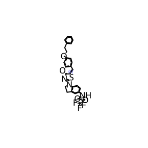 O=C1N=C(N2CCc3cc(NS(=O)(=O)C(F)(F)F)ccc32)S/C1=C/c1ccc(OCCc2ccccc2)cc1